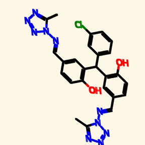 Cc1nnnn1N=Cc1ccc(O)c(C(c2cccc(Cl)c2)c2cc(C=Nn3nnnc3C)ccc2O)c1